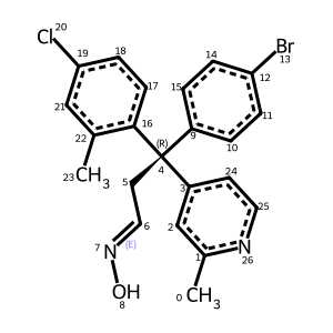 Cc1cc([C@@](C/C=N/O)(c2ccc(Br)cc2)c2ccc(Cl)cc2C)ccn1